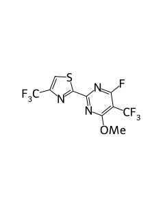 COc1nc(-c2nc(C(F)(F)F)cs2)nc(F)c1C(F)(F)F